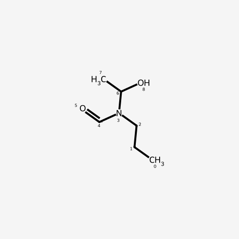 CCCN([C]=O)C(C)O